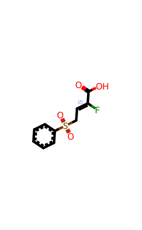 O=C(O)/C(F)=C/CS(=O)(=O)c1ccccc1